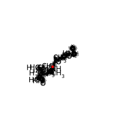 C[SiH2]OC(O[SiH2]C)C(C)(C)[C@H](CNCc1cc(C)c(NC(=O)CCCCN(C)C(=O)CCN2CCC(OC(=O)Nc3ccccc3-c3ccccc3)CC2)cc1C)c1ccc(O)c2[nH]c(=O)ccc12